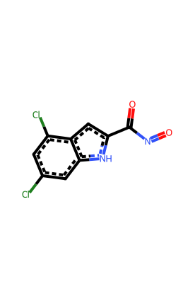 O=NC(=O)c1cc2c(Cl)cc(Cl)cc2[nH]1